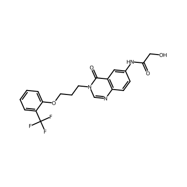 O=C(CO)Nc1ccc2ncn(CCCOc3ccccc3C(F)(F)F)c(=O)c2c1